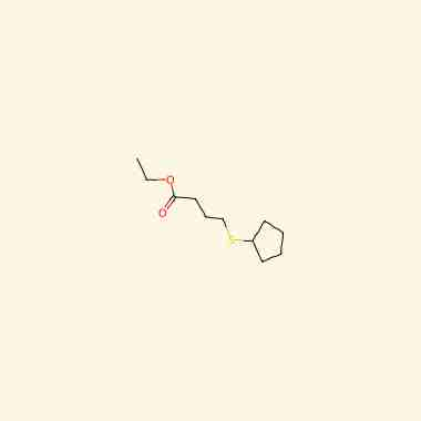 CCOC(=O)CCCSC1CCCC1